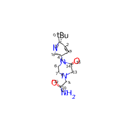 CC(C)(C)c1ccc(N2CCN(CC(N)=O)CC2=O)cn1